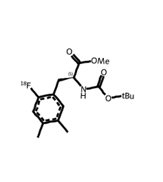 COC(=O)[C@H](Cc1cc(C)c(C)cc1[18F])NC(=O)OC(C)(C)C